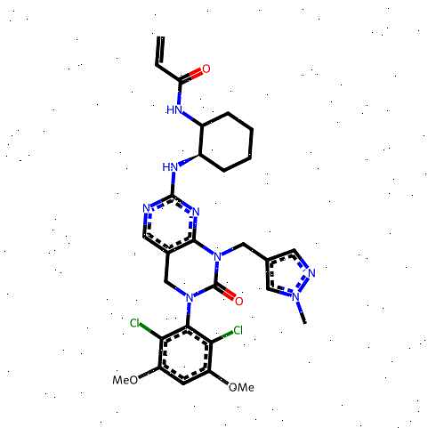 C=CC(=O)NC1CCCC[C@H]1Nc1ncc2c(n1)N(Cc1cnn(C)c1)C(=O)N(c1c(Cl)c(OC)cc(OC)c1Cl)C2